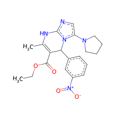 CCOC(=O)C1=C(C)Nc2ncc(N3CCCC3)n2C1c1cccc([N+](=O)[O-])c1